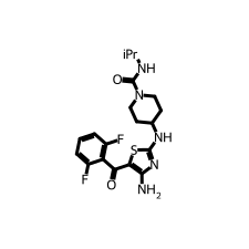 CC(C)NC(=O)N1CCC(Nc2nc(N)c(C(=O)c3c(F)cccc3F)s2)CC1